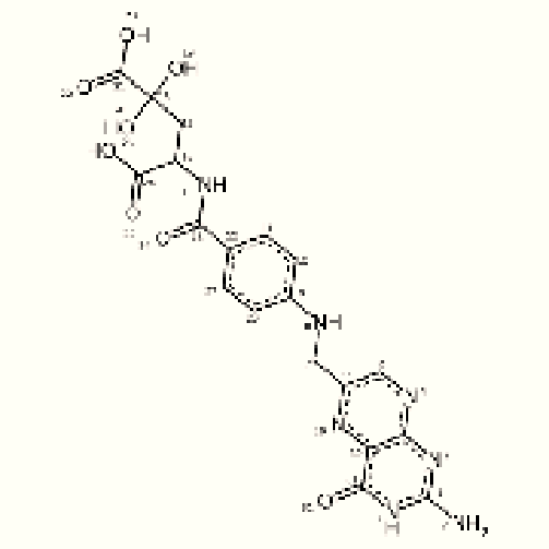 Nc1nc2ncc(CNc3ccc(C(=O)NC(CC(O)(O)C(=O)O)C(=O)O)cc3)nc2c(=O)[nH]1